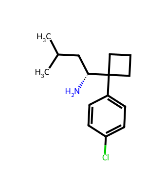 CC(C)C[C@@H](N)C1(c2ccc(Cl)cc2)CCC1